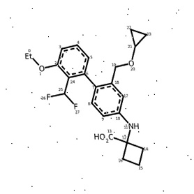 CCOc1cccc(-c2ccc(NC3(C(=O)O)CCC3)cc2COC2CC2)c1C(F)F